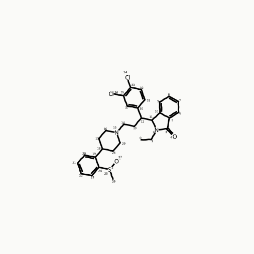 CCN1C(=O)c2ccccc2C1C(CCN1CCC(c2ccccc2[S+](C)[O-])CC1)c1ccc(Cl)c(Cl)c1